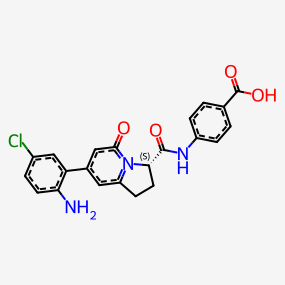 Nc1ccc(Cl)cc1-c1cc2n(c(=O)c1)[C@H](C(=O)Nc1ccc(C(=O)O)cc1)CC2